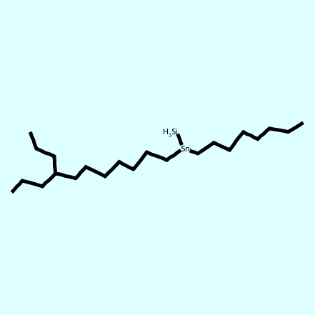 CCCCCCC[CH2][Sn]([SiH3])[CH2]CCCCCCC(CCC)CCC